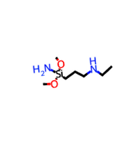 CCNCCC[Si](N)(OC)OC